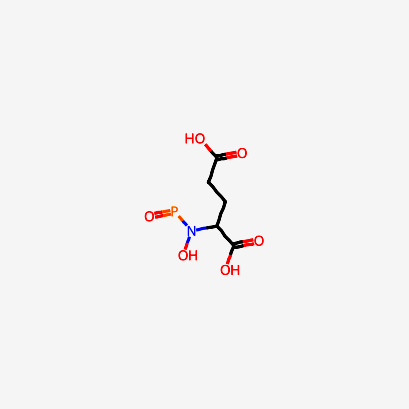 O=PN(O)C(CCC(=O)O)C(=O)O